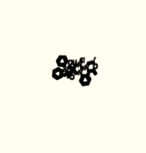 CC1CN([C@H]2N(Cl)CC(C=O)(C(O)[Si](c3ccccc3)(c3ccccc3)C(C)(C)C)CN2c2ccccc2F)C[C@H](C)O1